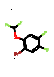 Fc1cc(Br)c(OC(F)F)cc1F